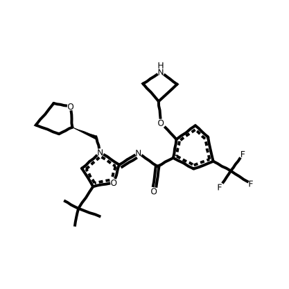 CC(C)(C)c1cn(C[C@H]2CCCO2)/c(=N/C(=O)c2cc(C(F)(F)F)ccc2OC2CNC2)o1